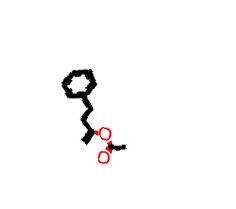 C=C(CCc1ccccc1)OC(C)=O